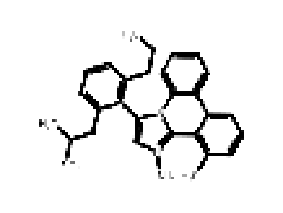 CCCc1cccc(CC(C)C)c1-c1c[n+](C)c2c3c(C)cccc3c3ccccc3n12